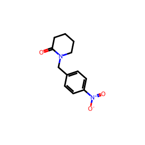 O=C1CCCCN1Cc1ccc([N+](=O)[O-])cc1